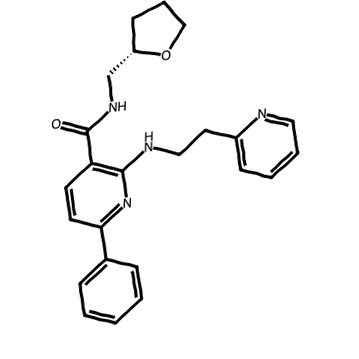 O=C(NC[C@@H]1CCCO1)c1ccc(-c2ccccc2)nc1NCCc1ccccn1